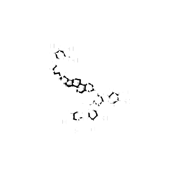 C[C@H](CC[C@@]1(O)O[C@H]2C[C@H]3[C@@H]4CC=C5C[C@@H](O[C@@H]6O[C@H](CO)[C@@H](O[C@@H]7O[C@@H](C)[C@H](O[C@@H]8O[C@@H](C)[C@H](O)[C@@H](O)[C@H]8O)[C@@H](O)[C@H]7O)[C@H](O)[C@H]6O[C@@H]6O[C@@H](C)[C@H](O)[C@@H](O)[C@H]6O)CC[C@]5(C)[C@H]4CC[C@]3(C)[C@H]2[C@@H]1C)CO[C@@H]1O[C@H](CO)[C@@H](O)[C@H](O)[C@H]1O